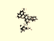 CN1C[C@H]2C[C@H]2[C@H]1COc1nc(N2CC3CCC(C2)N3)c2cnc(-c3cc(O)cc4ccccc34)c(F)c2n1